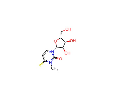 Cn1c(=S)ccn([C@@H]2O[C@H](CO)[C@@H](O)[C@H]2O)c1=O